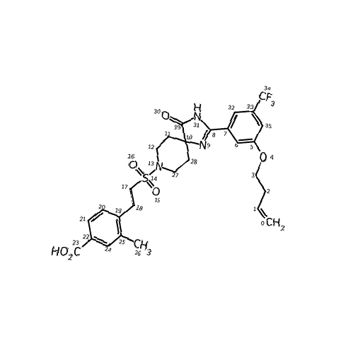 C=CCCOc1cc(C2=NC3(CCN(S(=O)(=O)CCc4ccc(C(=O)O)cc4C)CC3)C(=O)N2)cc(C(F)(F)F)c1